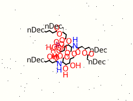 CCCCCCCCCCCCCC(=O)O[C@H](CCCCCCCCCCC)CC(=O)O[C@@H]1C(NC(=O)C[C@@H](CCCCCCCCCCC)OC(=O)CCCCCCCCCCC)[C@H](OCC2OC(O)C(NC(=O)C[C@H](O)CCCCCCCCCCC)[C@@H](O)[C@@H]2O)OC(CO)[C@H]1OP(=O)(O)O